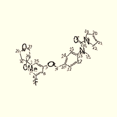 COC1(c2cc(F)cc(OCc3ccc(N(C)C(=O)N4CC=CC4)cc3)c2)CCOCC1